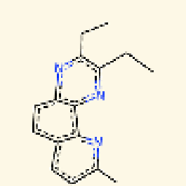 CCc1nc2ccc3ccc(C)nc3c2nc1CC